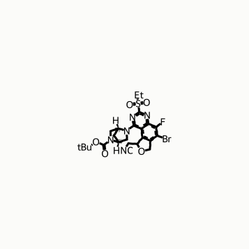 CCS(=O)(=O)c1nc(N2C[C@H]3C[C@@H]2CN3C(=O)OC(C)(C)C)c2c3c(c(Br)c(F)c2n1)COC3CC#N